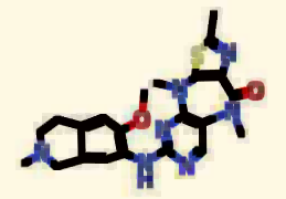 COc1cc2c(cc1Nc1ncc3c(n1)N(C)c1sc(C)nc1C(=O)N3C)CN(C)CC2